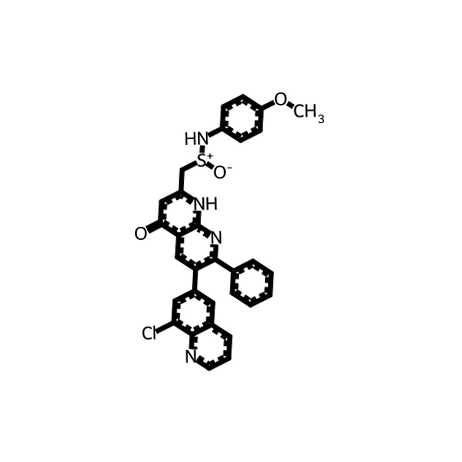 COc1ccc(N[S+]([O-])Cc2cc(=O)c3cc(-c4cc(Cl)c5ncccc5c4)c(-c4ccccc4)nc3[nH]2)cc1